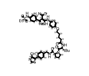 CCS(=O)(=O)Nc1ccc(-c2n[nH]c(Nc3ccc(OCCCCC(=O)N[C@H](C(=O)N4CCC[C@H]4C(=O)NCc4ccc(-c5scnc5C)cc4)C(C)(C)C)cn3)c2C(N)=O)cc1